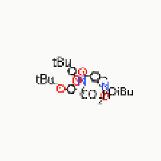 CC(C)COC(=O)N1CCc2ccc(C(=O)N(CC(C(=O)O)c3ccc(OCCC(C)(C)C)cc3)Oc3ccc(C(C)(C)C)cc3)cc2C1